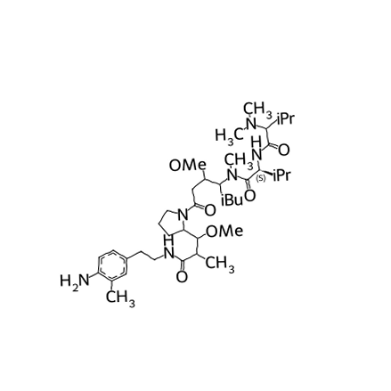 CCC(C)C(C(CC(=O)N1CCCC1C(OC)C(C)C(=O)NCCc1ccc(N)c(C)c1)OC)N(C)C(=O)[C@@H](NC(=O)C(C(C)C)N(C)C)C(C)C